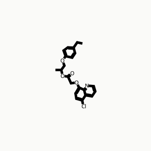 CCc1ccc(OCC(C)OC(=O)COc2ccc(Cl)c3cccnc23)cc1